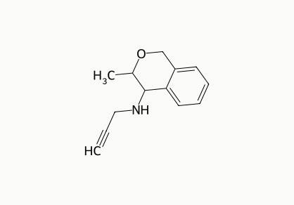 C#CCNC1c2ccccc2COC1C